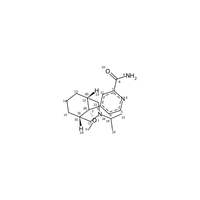 CO[C@@]1(c2ccnc(C(N)=O)c2)[C@@H]2CCC[C@H]1CN(C(C)C)C2